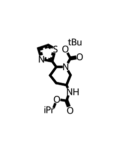 CC(C)OC(=O)NC1CCC(c2nccs2)N(C(=O)OC(C)(C)C)C1